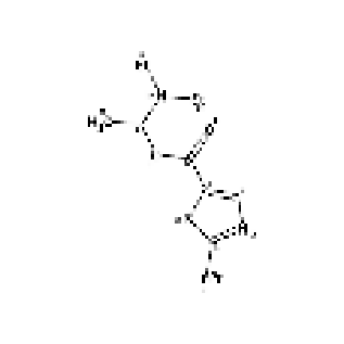 CCCc1ncc(C(=O)OC(C)N(CC)CC)s1